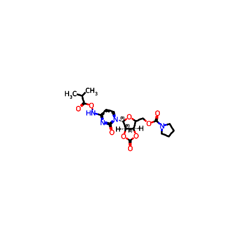 CC(C)C(=O)ONc1ccn([C@@H]2OC(COC(=O)N3CCCC3)[C@H]3OC(=O)O[C@H]32)c(=O)n1